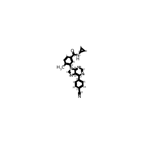 Cc1ccc(C(=O)NC2CC2)cc1-n1cnc2c(-c3ccc(C#N)cc3)ncnc21